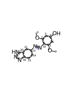 COc1cc(O)cc(OC)c1/N=N/c1ccc2nn[nH]c2c1